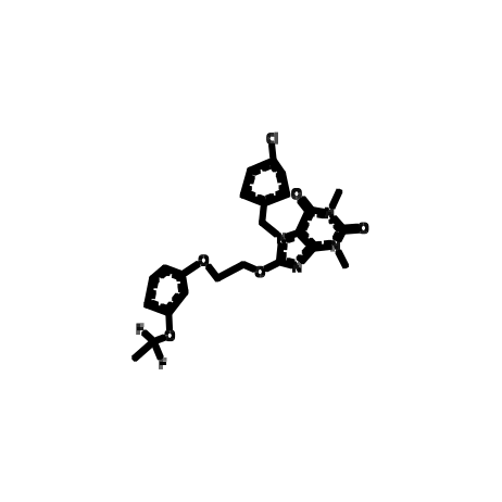 Cn1c(=O)c2c(nc(OCCOc3cccc(OC(C)(F)F)c3)n2Cc2ccc(Cl)cc2)n(C)c1=O